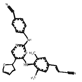 Cc1cc(/C=C/C#N)cc(C)c1Nc1nc(Nc2ccc(C#N)cc2)ncc1C1CC=CO1